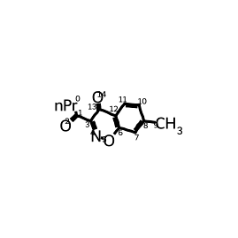 CCCC(=O)c1noc2cc(C)ccc2c1=O